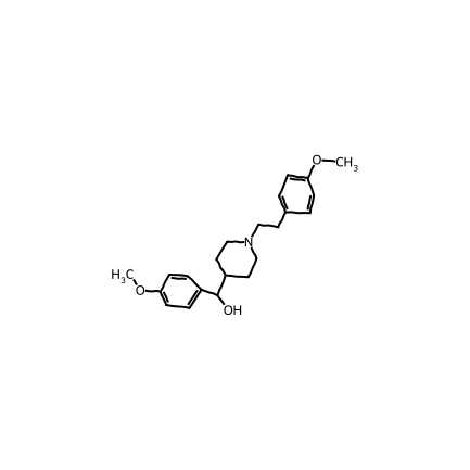 COc1ccc(CCN2CCC(C(O)c3ccc(OC)cc3)CC2)cc1